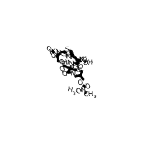 Cc1oc(=O)oc1COC(=O)[C@@]1(NC(=O)/C(=N\O)c2csc(N)n2)C(=O)N2C=C(COC(=O)N(C)C)CS[C@H]21.Cl